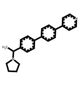 CC(c1ccc(-c2ccc(-c3ccncc3)cc2)cc1)N1CCCC1